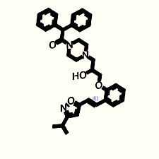 CC(C)c1cc(/C=C/c2ccccc2OCC(O)CN2CCN(C(=O)C(c3ccccc3)c3ccccc3)CC2)on1